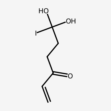 C=CC(=O)CCC(O)(O)I